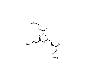 CCCCCCCCCCCCC(=O)OCC(COC(=O)CCCCCCCCCCCC)OC(=O)CCCCCCCCCCCC